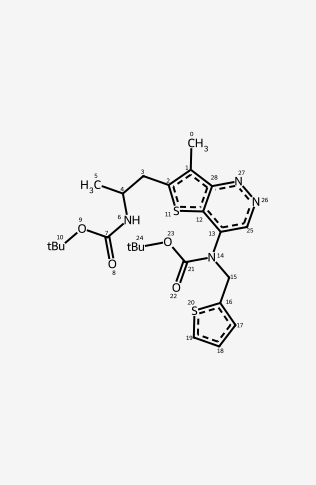 Cc1c(CC(C)NC(=O)OC(C)(C)C)sc2c(N(Cc3cccs3)C(=O)OC(C)(C)C)cnnc12